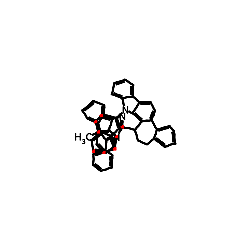 CC1C/C=C(c2ccccc2)/N=C(C2CCc3ccccc3-c3ccc4c5ccccc5n(-c5cc6ccccc6c6ccccc56)c4c32)\N=C/1c1ccccc1